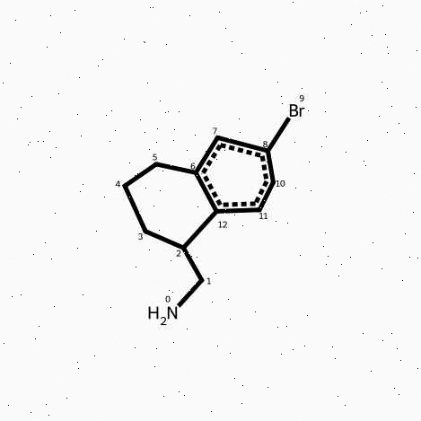 NCC1CCCc2cc(Br)ccc21